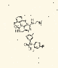 Cc1cc(N(C(=O)C(F)(F)F)c2ccc(F)cc2)ccc1-c1nc(NCCN(C)C)nc2c1CNC(=O)N2c1c(F)cccc1F